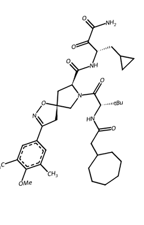 COc1c(C)cc(C2=NO[C@]3(C2)C[C@@H](C(=O)N[C@@H](CC2CC2)C(=O)C(N)=O)N(C(=O)[C@@H](NC(=O)CC2CCCCCC2)C(C)(C)C)C3)cc1C